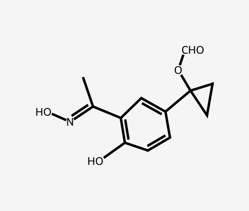 CC(=NO)c1cc(C2(OC=O)CC2)ccc1O